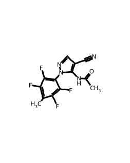 CC(=O)Nc1c(C#N)cnn1-c1c(F)c(F)c(C)c(F)c1F